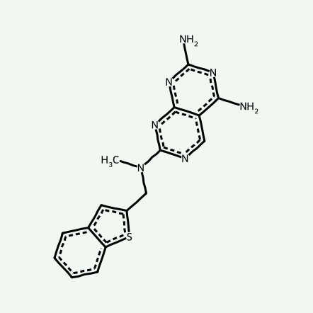 CN(Cc1cc2ccccc2s1)c1ncc2c(N)nc(N)nc2n1